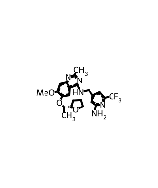 COc1cc2nc(C)nc(NCc3cc(N)nc(C(F)(F)F)c3)c2cc1OC(C)[C@@H]1CCCO1